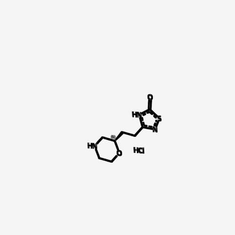 Cl.O=c1[nH]c(CC[C@@H]2CNCCO2)ns1